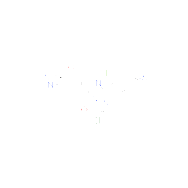 Cc1nc2c(-c3ccc(C#N)cc3F)nc([C@@H]3CCO[C@H](c4cnn(C)c4)C3)cn2c(=O)c1Cl